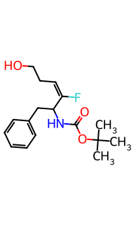 CC(C)(C)OC(=O)NC(Cc1ccccc1)/C(F)=C\CCO